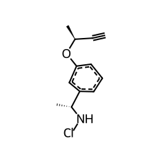 C#C[C@H](C)Oc1cccc([C@@H](C)NCl)c1